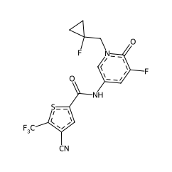 N#Cc1cc(C(=O)Nc2cc(F)c(=O)n(CC3(F)CC3)c2)sc1C(F)(F)F